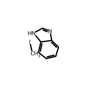 CI.c1ccc2[nH]cnc2c1